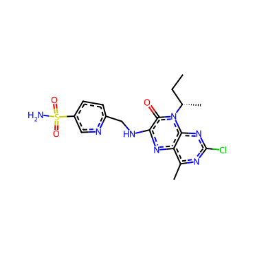 CC[C@H](C)n1c(=O)c(NCc2ccc(S(N)(=O)=O)cn2)nc2c(C)nc(Cl)nc21